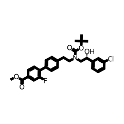 COC(=O)c1ccc(-c2ccc(CCN(C[C@H](O)c3cccc(Cl)c3)C(=O)OC(C)(C)C)cc2)c(F)c1